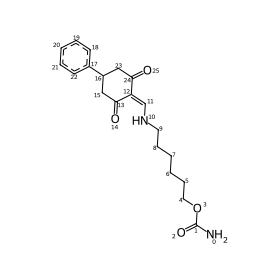 NC(=O)OCCCCCCNC=C1C(=O)CC(c2ccccc2)CC1=O